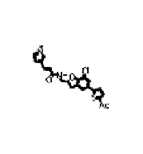 CC(=O)c1ccc(-c2cc(Cl)c3c(c2)CC(CNC(=O)C=Cc2ccn(C)c2)O3)s1